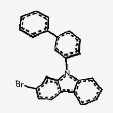 Brc1ccc2c3ccccc3n(-c3cccc(-c4ccccc4)c3)c2c1